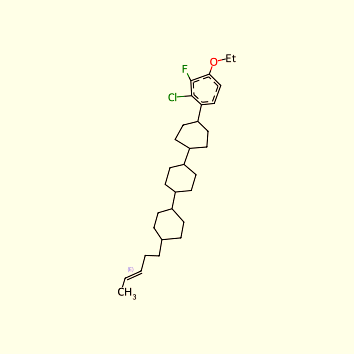 C/C=C/CCC1CCC(C2CCC(C3CCC(c4ccc(OCC)c(F)c4Cl)CC3)CC2)CC1